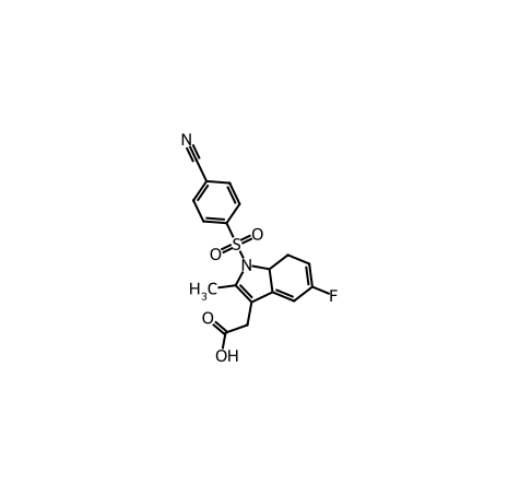 CC1=C(CC(=O)O)C2=CC(F)=CCC2N1S(=O)(=O)c1ccc(C#N)cc1